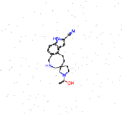 C=C(O)N1CCC2(CCc3c(ccc4[nH]c(C#N)cc34)CNC2)C1